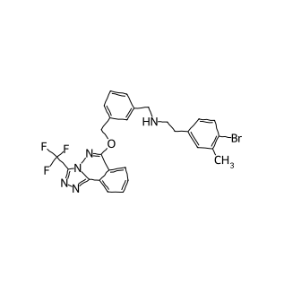 Cc1cc(CCNCc2cccc(COc3nn4c(C(F)(F)F)nnc4c4ccccc34)c2)ccc1Br